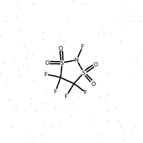 O=S1(=O)N(F)S(=O)(=O)C(F)(F)C1(F)F